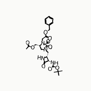 CC(=O)OC[C@@H]1CN(C[C@H]2NC(=O)[C@H]2NC(=O)OC(C)(C)C)S(=O)(=O)N1CC(=O)OCc1ccccc1